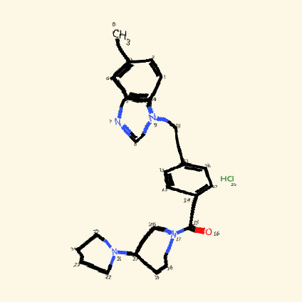 Cc1ccc2c(c1)ncn2Cc1ccc(C(=O)N2CCC(N3CCCC3)C2)cc1.Cl